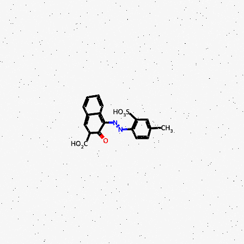 Cc1ccc(N=NC2=c3ccccc3=CC(C(=O)O)C2=O)c(S(=O)(=O)O)c1